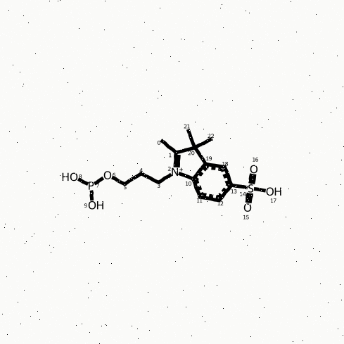 CC1=[N+](CCCOP(O)O)c2ccc(S(=O)(=O)O)cc2C1(C)C